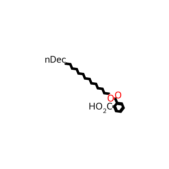 CCCCCCCCCCCCCCCCCCCCCCCCOC(=O)c1ccccc1C(=O)O